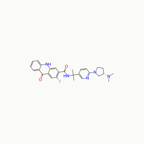 CN(C)[C@H]1CCN(c2ccc(C(C)(C)NC(=O)c3cc4[nH]c5ccccc5c(=O)c4cc3F)cn2)C1